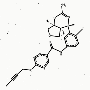 CC#CCOc1cnc(C(=O)Nc2ccc(F)c([C@@]3(C)N=C(N)O[C@@H]4COC[C@@H]43)c2)cn1